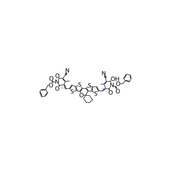 CC1=C(C#N)C(=O)N(C(=O)OCc2ccccc2)C(=O)/C1=C/c1cc2sc3c(c2s1)OC1(CCCCC1)c1c-3sc2cc(/C=C3/C(=O)N(C(=O)OCc4ccccc4)C(O)C(C#N)=C3C)sc12